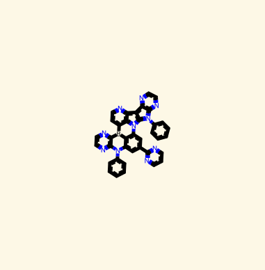 c1ccc(N2c3cc(-c4ncccn4)cc4c3B(c3nccnc32)c2ccnc3c5c6nccnc6n(-c6ccccc6)c5n-4c23)cc1